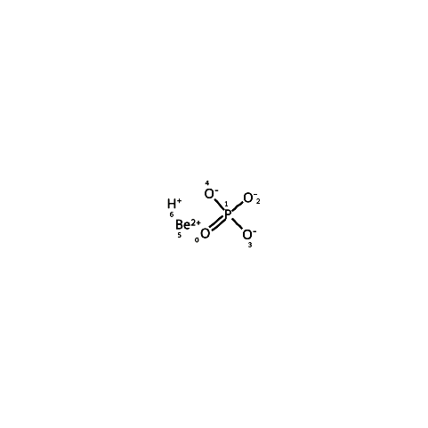 O=P([O-])([O-])[O-].[Be+2].[H+]